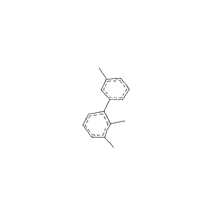 Cc1cccc(-c2cccc(C)c2C)c1